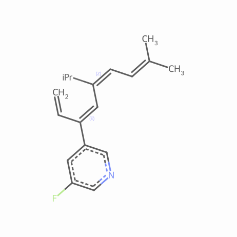 C=C/C(=C\C(=C/C=C(C)C)C(C)C)c1cncc(F)c1